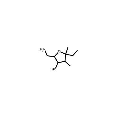 CCC1(C)OC(CN)C(O)C1C